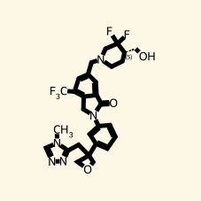 Cn1cnnc1CC1(c2cccc(N3Cc4c(cc(CN5CC[C@@H](CO)C(F)(F)C5)cc4C(F)(F)F)C3=O)c2)COC1